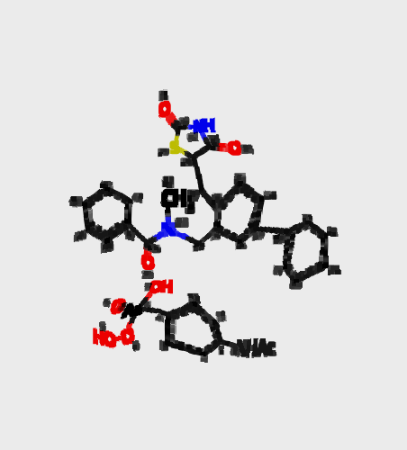 CC(=O)Nc1ccc([As](=O)(O)OO)cc1.CN(Cc1cc(-c2ccccc2)ccc1CC1SC(=O)NC1=O)C(=O)c1ccccc1